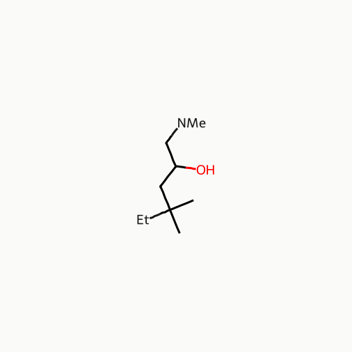 CCC(C)(C)CC(O)CNC